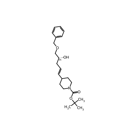 CC(C)(C)OC(=O)N1CCC(C=CC[C@@H](O)COCc2ccccc2)CC1